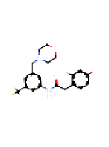 O=C(Cc1ccc(Br)cc1F)Nc1cc(CN2CCOCC2)cc(C(F)(F)F)c1